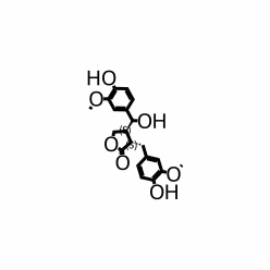 COc1cc(C[C@@H]2C(=O)OC[C@H]2C(O)c2ccc(O)c(OC)c2)ccc1O